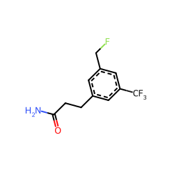 NC(=O)CCc1cc(CF)cc(C(F)(F)F)c1